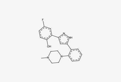 CN1CCN(c2ccccc2-c2cc(-c3cc(F)ccc3O)n[nH]2)CC1